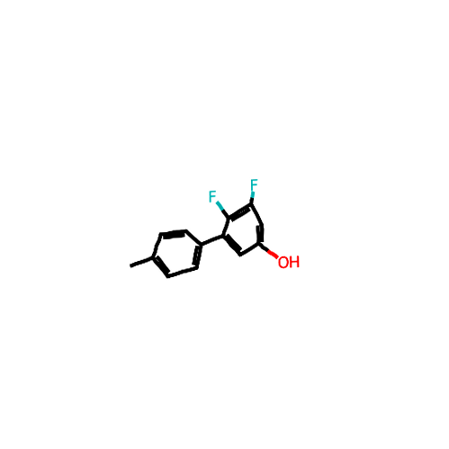 Cc1ccc(-c2cc(O)cc(F)c2F)cc1